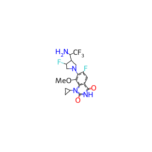 COc1c(N2CC(F)C(C(N)C(F)(F)F)C2)c(F)cc2c(=O)[nH]c(=O)n(C3CC3)c12